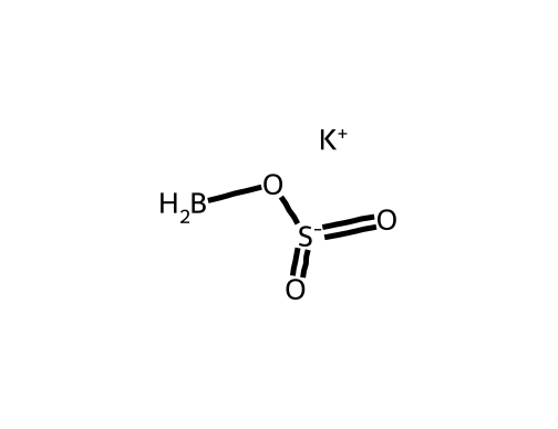 BO[S-](=O)=O.[K+]